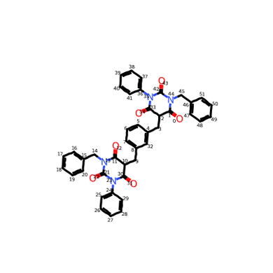 O=C1C(Cc2cccc(CC3C(=O)N(Cc4ccccc4)C(=O)N(c4ccccc4)C3=O)c2)C(=O)N(c2ccccc2)C(=O)N1Cc1ccccc1